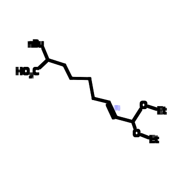 CCCCC(CCCC/C=C/C(OCC)OCC)C(=O)O